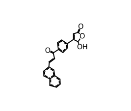 O=C1C=C(c2ccc(C(=O)C=Cc3ccc4ccccc4c3)cc2)C(O)O1